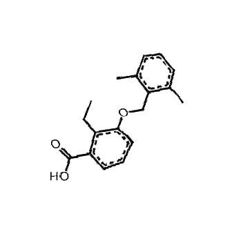 CCc1c(OCc2c(C)cccc2C)cccc1C(=O)O